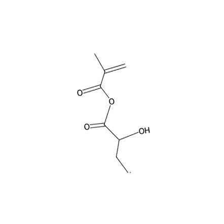 [CH2]CC(O)C(=O)OC(=O)C(=C)C